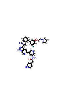 O=C(CC1CCNCC1)Nc1cncc(-c2cc3c(-c4cc5c(-c6cc(F)cc(OCCN7CCCC7)c6)cccc5[nH]4)n[nH]c3cn2)c1